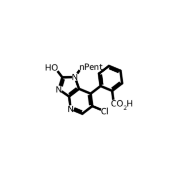 CCCCCn1c(O)nc2ncc(Cl)c(-c3ccccc3C(=O)O)c21